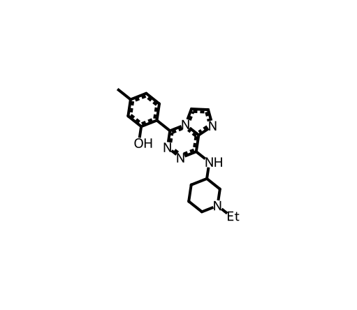 CCN1CCCC(Nc2nnc(-c3ccc(C)cc3O)n3ccnc23)C1